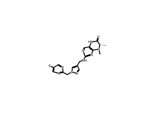 C[C@H]1C(=O)Nc2cnc(NCc3cnn(Cc4ncc(F)cn4)c3)nc2N1C